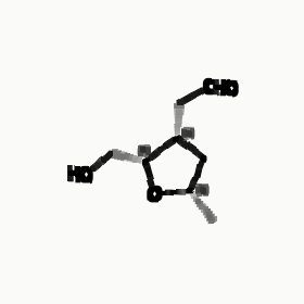 C[C@H]1C[C@@H](CC=O)[C@@H](CO)O1